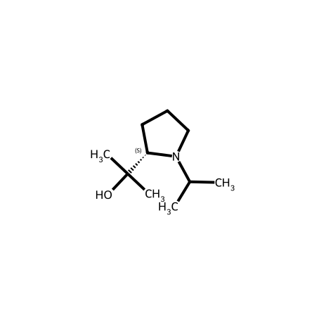 CC(C)N1CCC[C@H]1C(C)(C)O